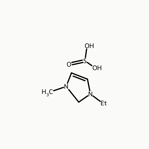 CCN1C=CN(C)C1.O=S(O)O